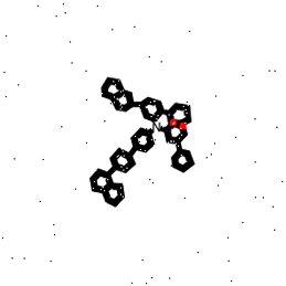 c1ccc(-c2cccc(N(c3ccc(-c4ccc(-c5cccc6ccccc56)cc4)cc3)c3cc(-c4ccc5ccccc5c4)ccc3-c3ccccc3)c2)cc1